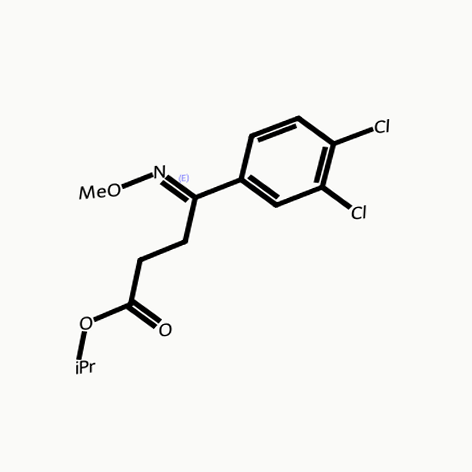 CO/N=C(\CCC(=O)OC(C)C)c1ccc(Cl)c(Cl)c1